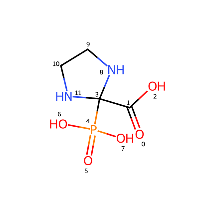 O=C(O)C1(P(=O)(O)O)NCCN1